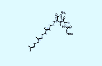 CC(C)=CCC/C(C)=C/CC/C(C)=C/CSC[C@H](NC(=O)C(C)NC(=O)OC(C)(C)C)C(=O)NN